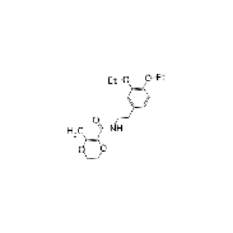 CCOc1ccc(CCNC(=O)C2=C(C)OCCO2)cc1OCC